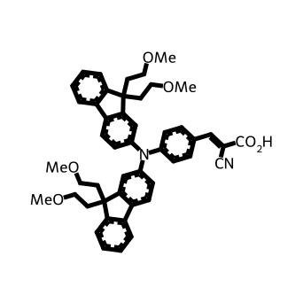 COCCC1(CCOC)c2ccccc2-c2ccc(N(c3ccc(/C=C(\C#N)C(=O)O)cc3)c3ccc4c(c3)C(CCOC)(CCOC)c3ccccc3-4)cc21